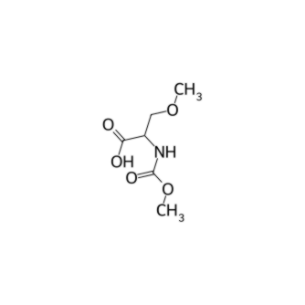 COCC(NC(=O)OC)C(=O)O